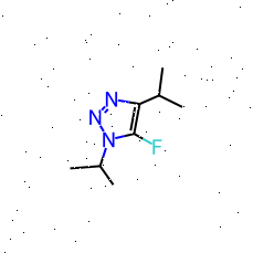 CC(C)c1nnn(C(C)C)c1F